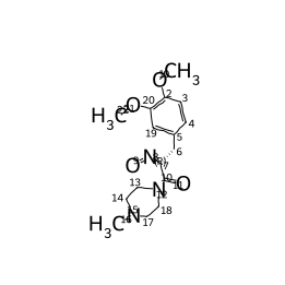 COc1ccc(C[C@@H](N=O)C(=O)N2CCN(C)CC2)cc1OC